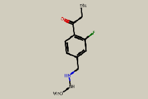 COBNCc1ccc(C(=O)CC(C)(C)C)c(F)c1